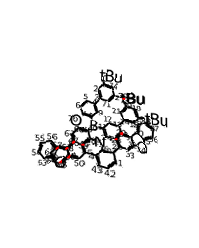 CC(C)(C)c1cc(-c2ccc3c(c2)B2c4cc(-c5cc(C(C)(C)C)cc(C(C)(C)C)c5)ccc4N(c4c(-c5ccc6c(c5)oc5ccccc56)cccc4-c4ccc5c(c4)oc4ccccc45)c4cc(-c5ccccc5)cc(c42)O3)cc(C(C)(C)C)c1